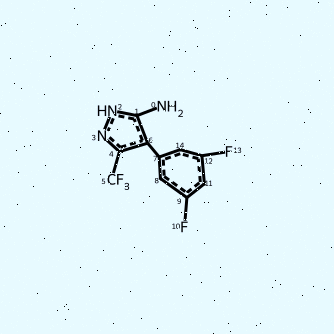 Nc1[nH]nc(C(F)(F)F)c1-c1cc(F)cc(F)c1